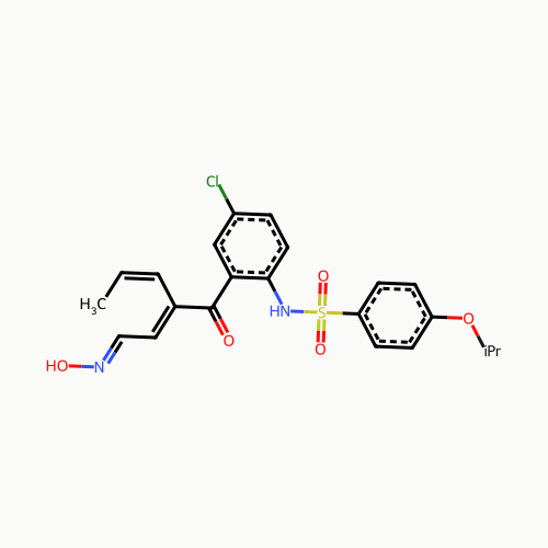 C\C=C/C(=C\C=N\O)C(=O)c1cc(Cl)ccc1NS(=O)(=O)c1ccc(OC(C)C)cc1